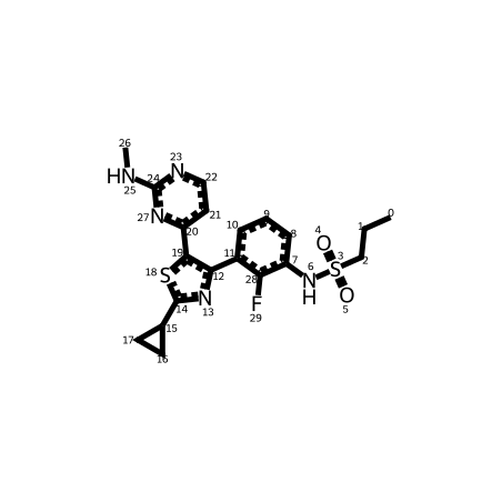 CCCS(=O)(=O)Nc1cccc(-c2nc(C3CC3)sc2-c2ccnc(NC)n2)c1F